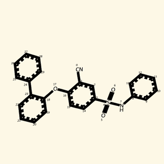 N#Cc1cc(S(=O)(=O)Nc2ccccc2)ccc1Oc1ccccc1-c1ccccc1